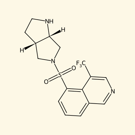 O=S(=O)(c1cccc2cncc(C(F)(F)F)c12)N1C[C@@H]2CCN[C@@H]2C1